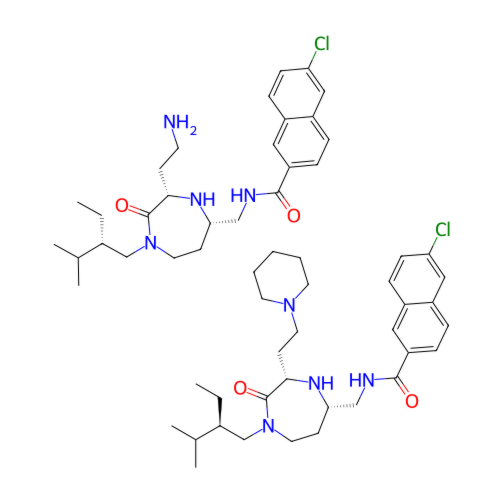 CC[C@@H](CN1CC[C@@H](CNC(=O)c2ccc3cc(Cl)ccc3c2)N[C@@H](CCN2CCCCC2)C1=O)C(C)C.CC[C@H](CN1CC[C@@H](CNC(=O)c2ccc3cc(Cl)ccc3c2)N[C@@H](CCN)C1=O)C(C)C